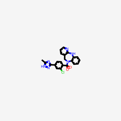 Cc1nc(-c2ccc(C3(N4Cc5cccnc5Nc5ccccc54)OO3)c(Cl)c2)n[nH]1